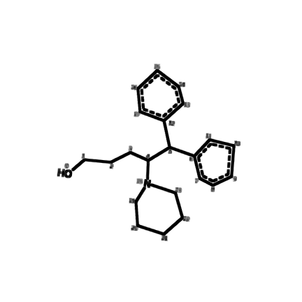 OCCCC(C(c1ccccc1)c1ccccc1)N1CCCCC1